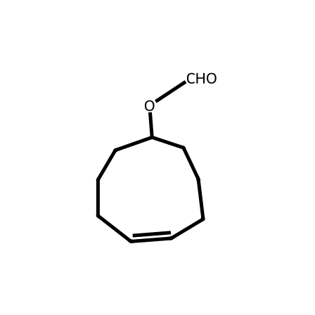 O=COC1CCCC=CCCC1